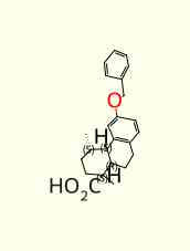 C[C@H]1CC[C@](C)(C(=O)O)[C@@H]2CCc3ccc(OCc4ccccc4)cc3[C@H]21